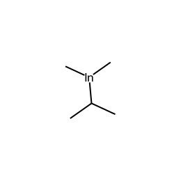 C[CH](C)[In]([CH3])[CH3]